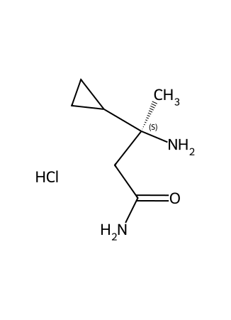 C[C@](N)(CC(N)=O)C1CC1.Cl